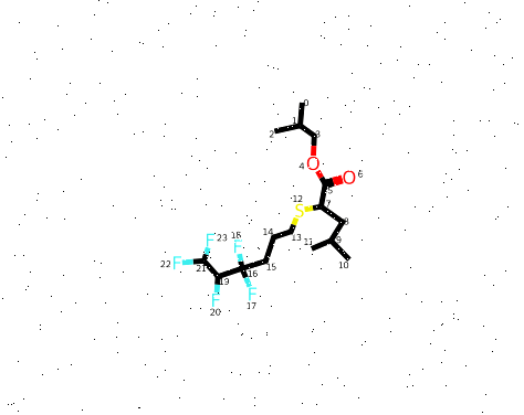 CC(C)COC(=O)C(CC(C)C)SCCCC(F)(F)C(F)C(F)F